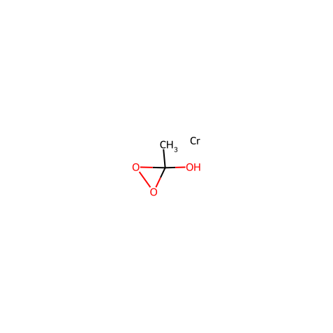 CC1(O)OO1.[Cr]